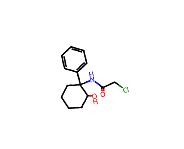 O=C(CCl)NC1(c2ccccc2)CCCCC1O